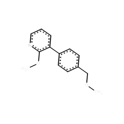 COCc1ccc(-c2cccnc2OC)cc1